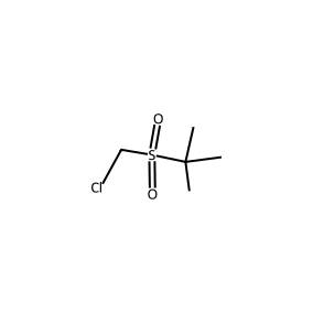 CC(C)(C)S(=O)(=O)CCl